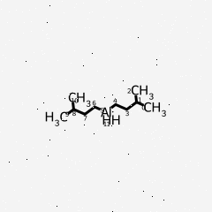 CC(C)C[CH2][Al][CH2]CC(C)C.[HH]